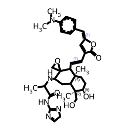 CC(NC1CC2[C@](C)(CC[C@@H](O)[C@@]2(C)CO)C(/C=C/C2=CC(=C\c3ccc(N(C)C)cc3)/OC2=O)C12CO2)C(=O)NC1=NCC=N1